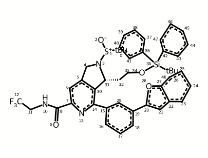 CC(C)(C)[S+]([O-])N1Cc2cc(C(=O)NCC(F)(F)F)nc(-c3cccc(-c4cc5ccccc5o4)c3)c2[C@H]1CCO[Si](c1ccccc1)(c1ccccc1)C(C)(C)C